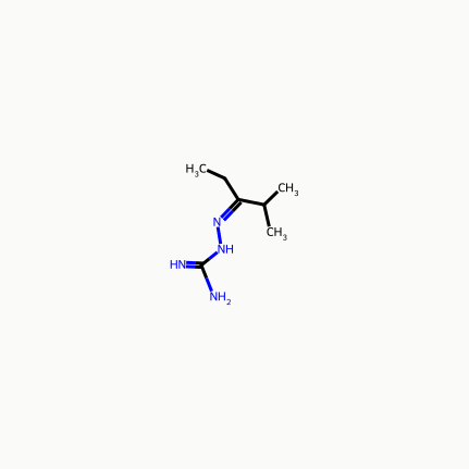 CCC(=NNC(=N)N)C(C)C